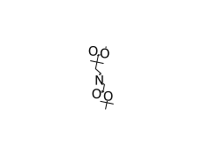 COC(=O)C(C)(C)CC=NCC(=O)OC(C)(C)C